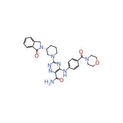 NC(=O)c1nnc(N2CCC[C@@H](N3Cc4ccccc4C3=O)C2)nc1Nc1ccc(C(=O)N2CCOCC2)cc1